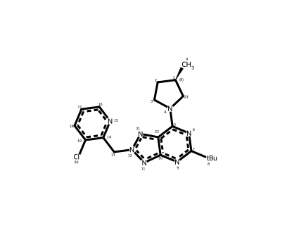 C[C@@H]1CCN(c2nc(C(C)(C)C)nc3nn(Cc4ncccc4Cl)nc23)C1